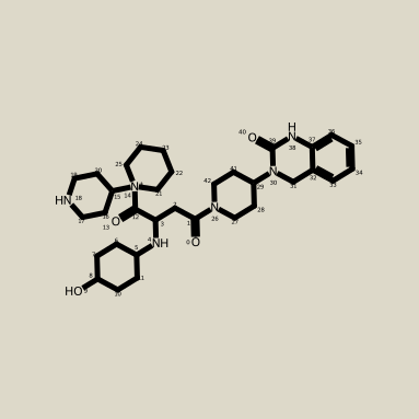 O=C(CC(NC1CCC(O)CC1)C(=O)[N+]1(C2CCNCC2)CCCCC1)N1CCC(N2Cc3ccccc3NC2=O)CC1